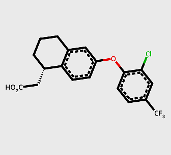 O=C(O)C[C@@H]1CCCc2cc(Oc3ccc(C(F)(F)F)cc3Cl)ccc21